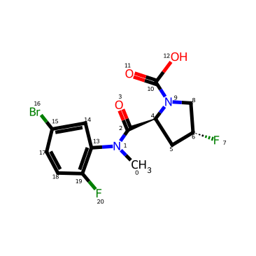 CN(C(=O)[C@@H]1C[C@@H](F)CN1C(=O)O)c1cc(Br)ccc1F